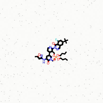 CCCCOP(=O)(OCCCC)OCc1c(-c2cc(Nc3cc(C)on3)c(=O)n(C)c2)ccnc1-n1ncc2cc(C(C)(C)C)cc(F)c2c1=O